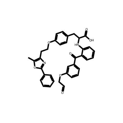 Cc1oc(-c2ccccc2)nc1CCOc1ccc(CC(Nc2ccccc2C(=O)c2cccc(OCC=O)c2)C(=O)O)cc1